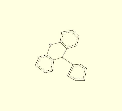 c1ccc(C2c3ccccc3Sc3ccccc32)cc1